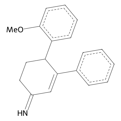 COc1ccccc1C1CCC(=N)C=C1c1ccccc1